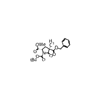 COC(=O)[C@@H]1C[C@@](C)(C(=O)OCc2ccccc2)C(=O)N1C(=O)OC(C)(C)C